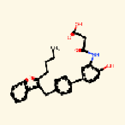 CCCCc1oc2ccccc2c1Cc1ccc(-c2ccc(O)c(NC(=O)CC(=O)O)c2)cc1